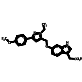 CCOC(=O)Cc1c[nH]c2cc(OCc3cc(-c4ccc(OC(F)(F)F)cc4)nn3CC(F)(F)F)ccc12